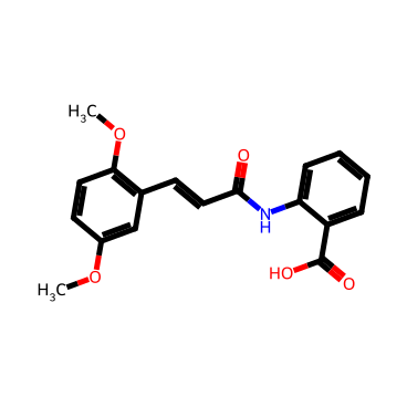 COc1ccc(OC)c(C=CC(=O)Nc2ccccc2C(=O)O)c1